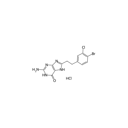 Cl.Nc1nc2nc(CCc3ccc(Br)c(Cl)c3)[nH]c2c(=O)[nH]1